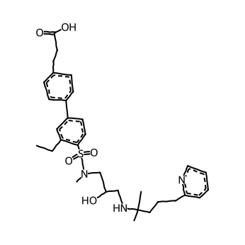 CCc1cc(-c2ccc(CCC(=O)O)cc2)ccc1S(=O)(=O)N(C)CC(O)CNC(C)(C)CCCc1ccccn1